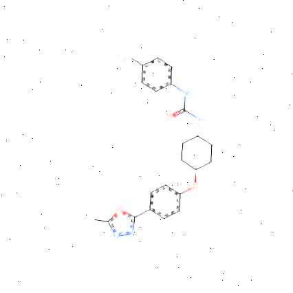 Cc1ccc(NC(=O)N[C@H]2CC[C@H](Oc3ccc(-c4nnc(C)o4)cc3)CC2)cc1